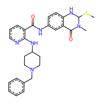 CSC1Nc2ccc(NC(=O)c3cccnc3NC3CCN(Cc4ccccc4)CC3)cc2C(=O)N1C